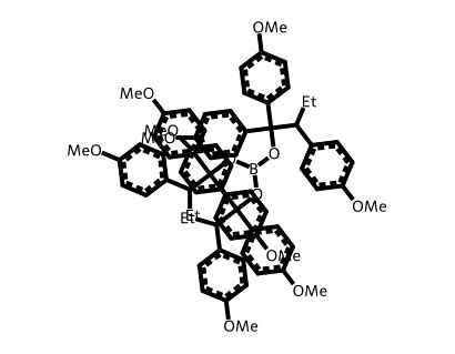 CCC(c1ccc(OC)cc1)C(OB(OC(c1ccc(OC)cc1)(c1ccc(OC)cc1)C(CC)c1ccc(OC)cc1)OC(c1ccc(OC)cc1)(c1ccc(OC)cc1)C(CC)c1ccc(OC)cc1)(c1ccc(OC)cc1)c1ccc(OC)cc1